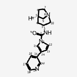 O=C(N[C@@H]1C[C@H]2CCN(C2)C1)n1ccc(-c2cccnc2)c1